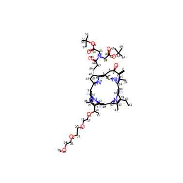 C=C1C(=O)C/C2=C3N=C(/C=c4\[nH]/c(c(C(C)OCCOCCOCCOC)c4C)=C\C4=NC(=C\C(=C\1C)NC2)/C(CC)=C4C)C[C@@H]/3CCC(=O)N(CC(=O)OC(C)(C)C)CC(=O)OC(C)(C)C